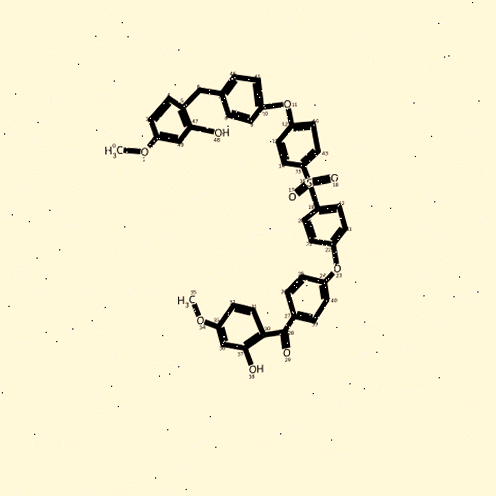 COc1ccc(Cc2ccc(Oc3ccc(S(=O)(=O)c4ccc(Oc5ccc(C(=O)c6ccc(OC)cc6O)cc5)cc4)cc3)cc2)c(O)c1